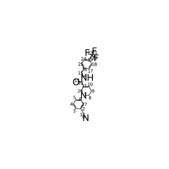 N#Cc1cccc(N2CCC=C(C(=O)NCc3ccc(C(F)(F)F)cc3)C2)c1